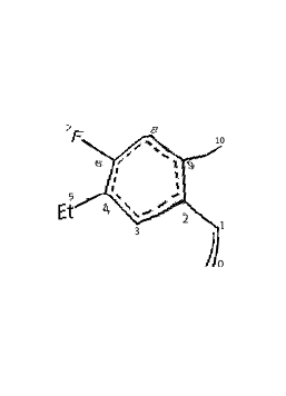 C=Cc1cc(CC)c(F)cc1C